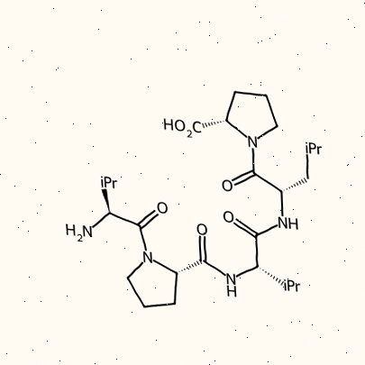 CC(C)C[C@H](NC(=O)[C@@H](NC(=O)[C@@H]1CCCN1C(=O)[C@@H](N)C(C)C)C(C)C)C(=O)N1CCC[C@H]1C(=O)O